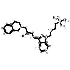 C[Si](C)(C)CCOCn1nc(NCC(O)CN2CCc3ccccc3C2)c2ncncc21